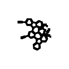 Cc1nc(C)nc(-c2c(-n3c4ccccc4c4ccc(C#N)cc43)cc(C#N)cc2-n2c3ccccc3c3ccc(C#N)cc32)n1